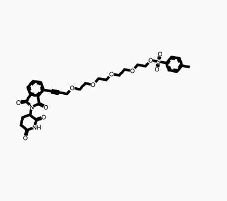 Cc1ccc(S(=O)(=O)OCCOCCOCCOCCOCC#Cc2cccc3c2C(=O)N(C2CCC(=O)NC2=O)C3=O)cc1